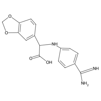 N=C(N)c1ccc(NC(C(=O)O)c2ccc3c(c2)OCO3)cc1